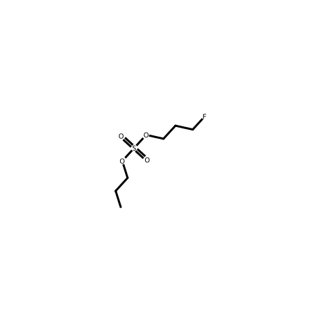 CCCOS(=O)(=O)OCCCF